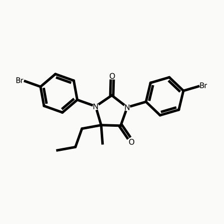 CCCC1(C)C(=O)N(c2ccc(Br)cc2)C(=O)N1c1ccc(Br)cc1